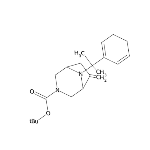 C=C1CC2CN(C(=O)OC(C)(C)C)CC1N2C(C)(C)C1=CCCC=C1